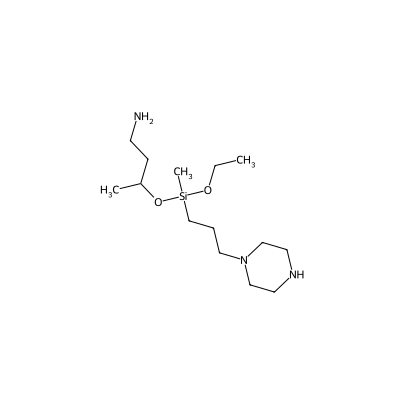 CCO[Si](C)(CCCN1CCNCC1)OC(C)CCN